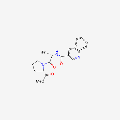 COC(=O)[C@@H]1CCCN1C(=O)[C@@H](NC(=O)c1cnc2ccccc2c1)C(C)C